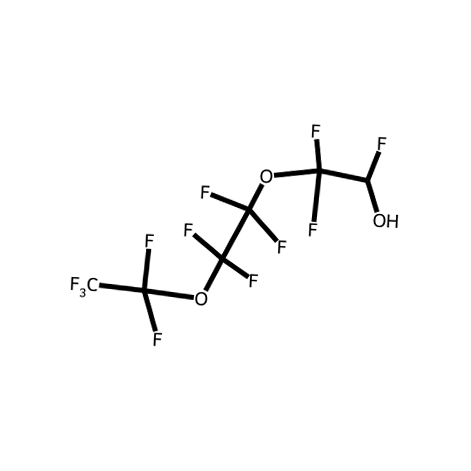 OC(F)C(F)(F)OC(F)(F)C(F)(F)OC(F)(F)C(F)(F)F